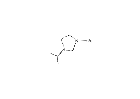 CCCCN1CCC(=C(C)C)C1